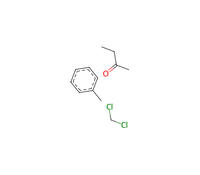 CCC(C)=O.Cc1ccccc1.ClCCl